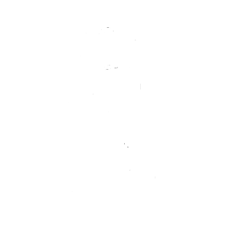 Cc1cc(C)cc(P(c2cc(C)cc(C)c2)C2CN(C(=O)c3ccccc3)CC2P(c2cc(C)cc(C)c2)c2cc(C)cc(C)c2)c1